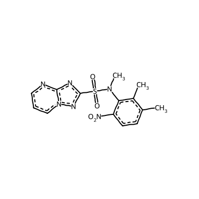 Cc1ccc([N+](=O)[O-])c(N(C)S(=O)(=O)c2nc3ncccn3n2)c1C